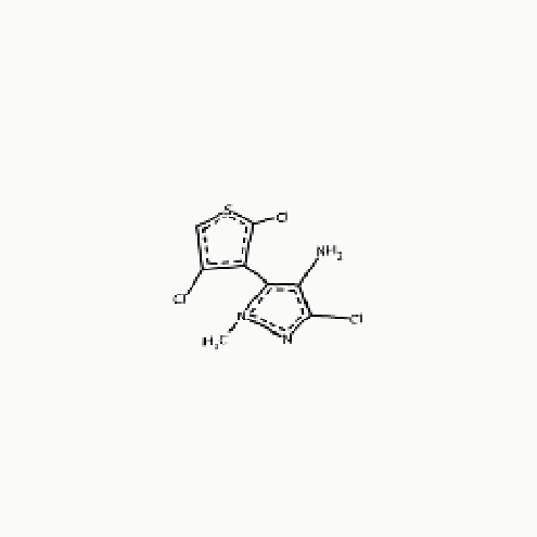 Cn1nc(Cl)c(N)c1-c1c(Cl)csc1Cl